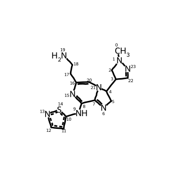 CN1CC(C2CN=C3C(Nc4ccns4)=NC(CCN)=CN32)C=N1